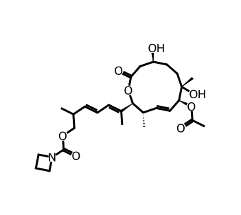 CC(=O)O[C@H]1/C=C/[C@H](C)[C@@H](/C(C)=C/C=C/C(C)COC(=O)N2CCC2)OC(=O)C[C@@H](O)CC[C@]1(C)O